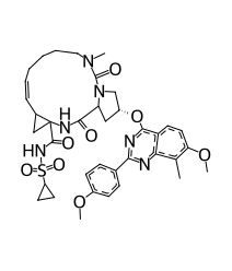 COc1ccc(-c2nc(O[C@@H]3CC4C(=O)NC5(C(=O)NS(=O)(=O)C6CC6)CC5/C=C\CCCCN(C)C(=O)N4C3)c3ccc(OC)c(C)c3n2)cc1